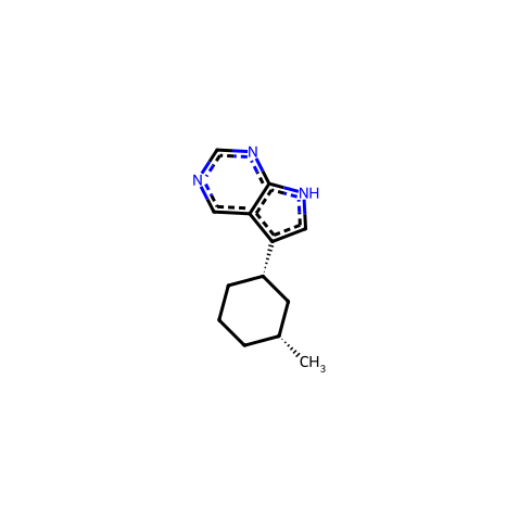 C[C@@H]1CCC[C@H](c2c[nH]c3ncncc23)C1